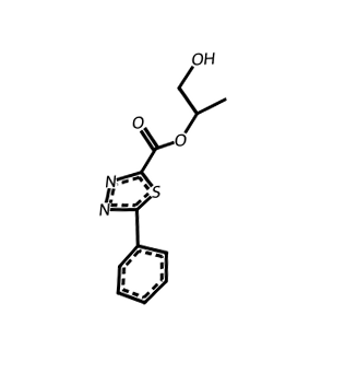 CC(CO)OC(=O)c1nnc(-c2ccccc2)s1